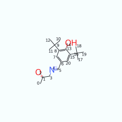 CC(=O)C/N=C/c1cc(C(C)(C)C)c(O)c(C(C)(C)C)c1